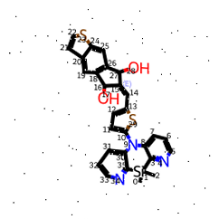 C[Si]1(C)c2ncccc2N(c2ccc(/C=C3\C(O)c4cc5ccsc5cc4C3O)s2)c2cccnc21